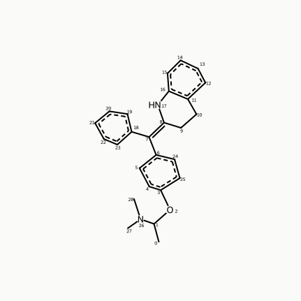 CC(Oc1ccc(C(=C2CCc3ccccc3N2)c2ccccc2)cc1)N(C)C